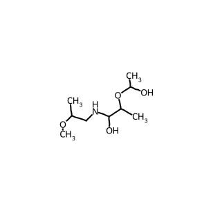 COC(C)CNC(O)C(C)OC(C)O